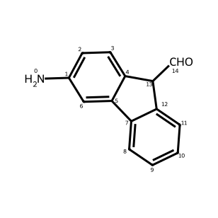 Nc1ccc2c(c1)-c1ccccc1C2C=O